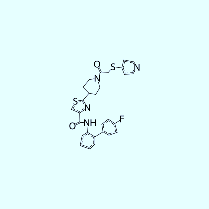 O=C(Nc1ccccc1-c1ccc(F)cc1)c1csc(C2CCN(C(=O)CSc3ccncc3)CC2)n1